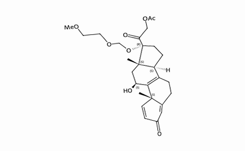 COCCOCO[C@]1(C(=O)COC(C)=O)CC[C@H]2C3=C([C@@H](O)C[C@@]21C)[C@@]1(C)C=CC(=O)C=C1CC3